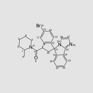 CC1CCCCN1C(=O)CCC1(c2ccc(Br)cc2)c2ccccc2-c2nccn21